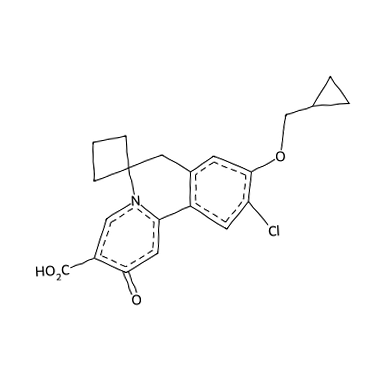 O=C(O)c1cn2c(cc1=O)-c1cc(Cl)c(OCC3CC3)cc1CC21CCC1